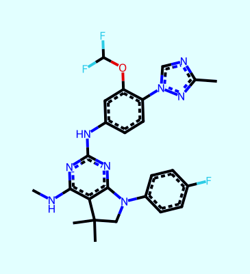 CNc1nc(Nc2ccc(-n3cnc(C)n3)c(OC(F)F)c2)nc2c1C(C)(C)CN2c1ccc(F)cc1